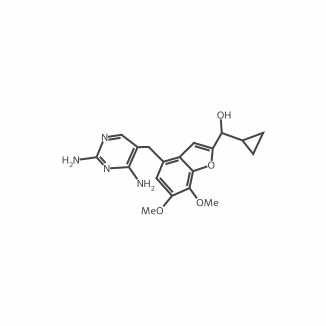 COc1cc(Cc2cnc(N)nc2N)c2cc(C(O)C3CC3)oc2c1OC